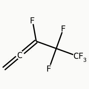 C=C=C(F)C(F)(F)C(F)(F)F